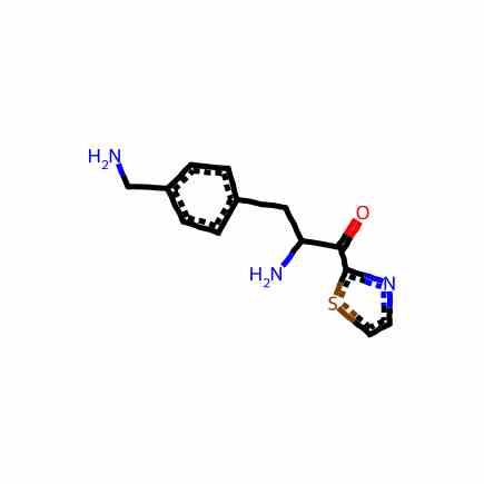 NCc1ccc(CC(N)C(=O)c2nccs2)cc1